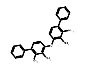 Nc1c(Oc2ccc(-c3ccccc3)c(N)c2N)ccc(-c2ccccc2)c1N